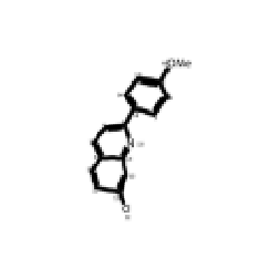 COc1ccc(-c2ccc3ccc(Cl)cc3n2)cc1